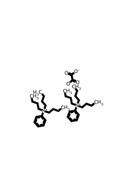 CCCC[N+](CCCC)(CCCC)c1ccccc1.CCCC[N+](CCCC)(CCCC)c1ccccc1.O=C([O-])C(=O)[O-]